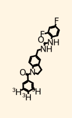 [3H]c1cc(C(=O)N2CCc3cc(CNC(=O)Nc4ccc(F)cc4F)ccc32)cc([3H])c1[3H]